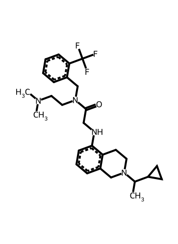 CC(C1CC1)N1CCc2c(cccc2NCC(=O)N(CCN(C)C)Cc2ccccc2C(F)(F)F)C1